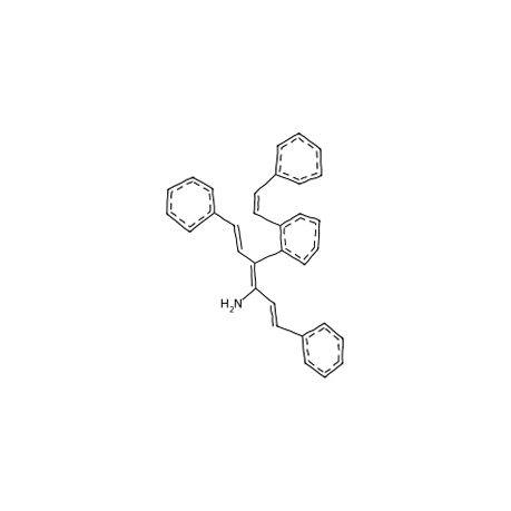 NC(C=Cc1ccccc1)=C(C=Cc1ccccc1)c1ccccc1C=Cc1ccccc1